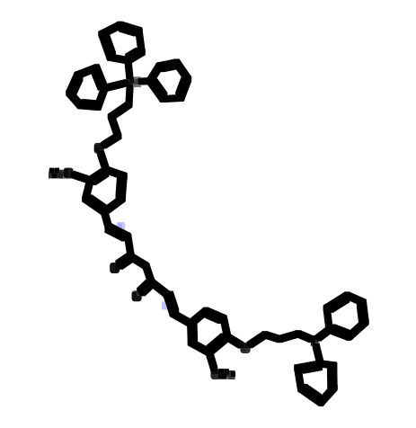 COc1cc(/C=C/C(=O)CC(=O)/C=C/c2ccc(OCCC[PH](c3ccccc3)(c3ccccc3)c3ccccc3)c(OC)c2)ccc1OCCCP(c1ccccc1)c1ccccc1